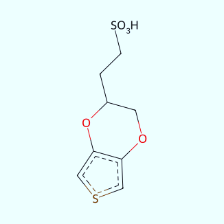 O=S(=O)(O)CCC1COc2cscc2O1